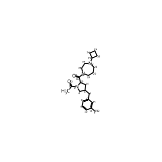 CC(=O)N1CC(Cc2cccc(F)c2)CC1C(=O)N1CCCN(C2CCC2)CC1